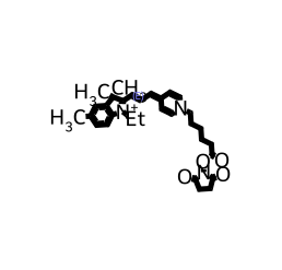 CC[N+]1=C(/C=C/C=C2C=CN(CCCCCC(=O)ON3C(=O)CCC3=O)C=C2)C(C)(C)c2cc(C)ccc21